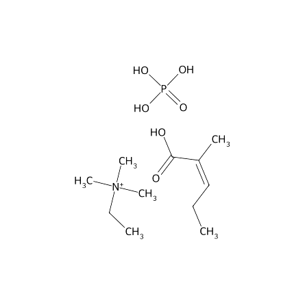 CCC=C(C)C(=O)O.CC[N+](C)(C)C.O=P(O)(O)O